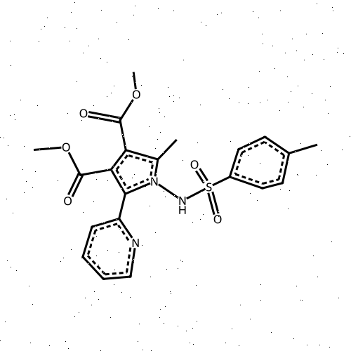 COC(=O)c1c(C(=O)OC)c(-c2ccccn2)n(NS(=O)(=O)c2ccc(C)cc2)c1C